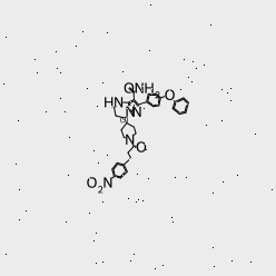 NC(=O)c1c(-c2ccc(Oc3ccccc3)cc2)nn2c1NCC[C@H]2C1CCN(C(=O)CCc2ccc([N+](=O)[O-])cc2)CC1